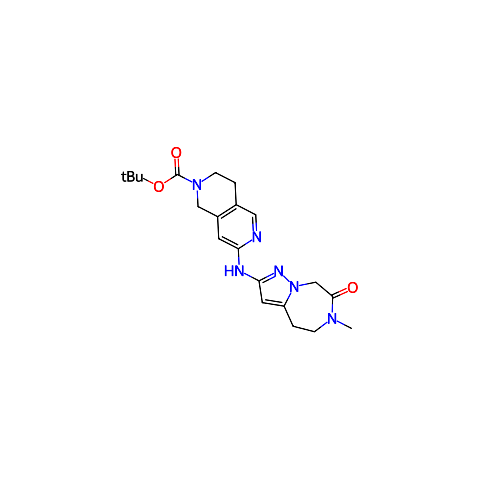 CN1CCc2cc(Nc3cc4c(cn3)CCN(C(=O)OC(C)(C)C)C4)nn2CC1=O